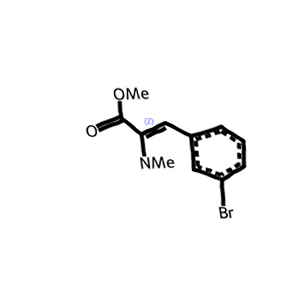 CN/C(=C\c1cccc(Br)c1)C(=O)OC